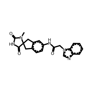 CN1C(=O)NC(=O)C12Cc1ccc(NC(=O)Cn3cnc4ccccc43)cc1C2